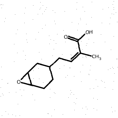 CC(=CCC1CCC2OC2C1)C(=O)O